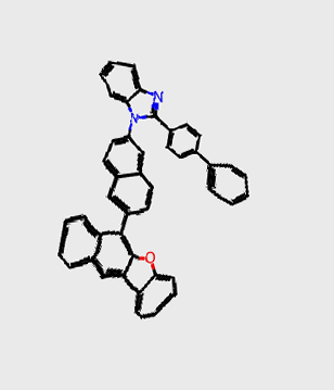 c1ccc(-c2ccc(-c3nc4ccccc4n3-c3ccc4cc(-c5c6ccccc6cc6c5oc5ccccc56)ccc4c3)cc2)cc1